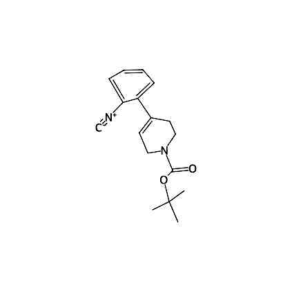 [C-]#[N+]c1ccccc1C1=CCN(C(=O)OC(C)(C)C)CC1